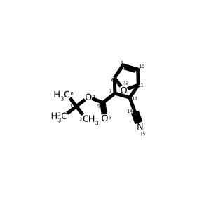 CC(C)(C)OC(=O)C1C2C=CC(O2)C1C#N